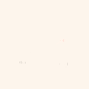 CC(C)(C)c1cc(C(=O)O)c(O)c2ccccc12